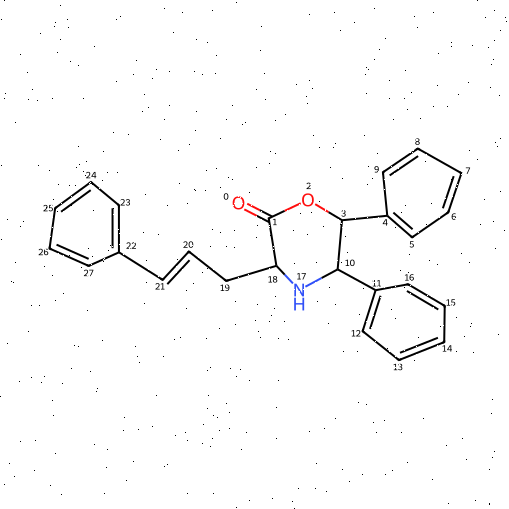 O=C1OC(c2ccccc2)C(c2ccccc2)NC1CC=Cc1ccccc1